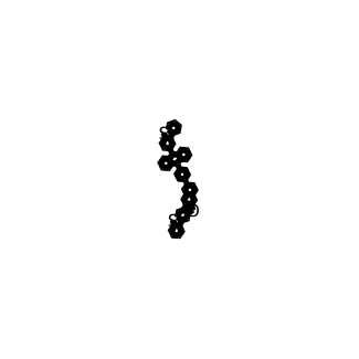 c1ccc2c(c1)sc1ccc(-c3c4ccccc4c(-c4ccc(-c5ccc6cc7oc8cc9c(cc8c7cc6c5)sc5ccccc59)cc4)c4ccccc34)cc12